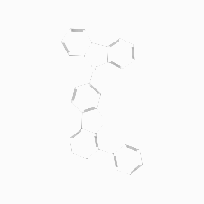 C1=CC2c3ccccc3N(c3ccc4c5c(sc4c3)=C(c3ccccc3)CCC=5)C2C=C1